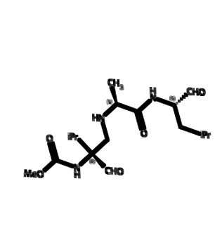 COC(=O)N[C@@](C=O)(CN[C@@H](C)C(=O)N[C@H](C=O)CC(C)C)C(C)C